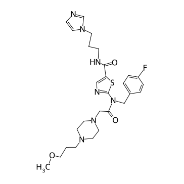 COCCCN1CCN(CC(=O)N(Cc2ccc(F)cc2)c2ncc(C(=O)NCCCn3ccnc3)s2)CC1